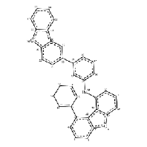 C1=CC(c2cccc3oc4cccc(Nc5cccc(-c6ccc7oc8ccccc8c7c6)c5)c4c23)=CCC1